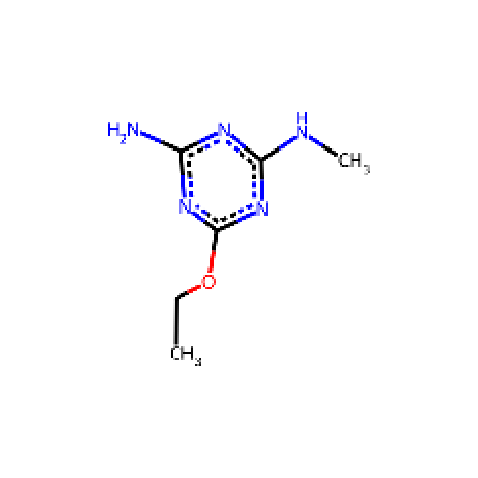 CCOc1nc(N)nc(NC)n1